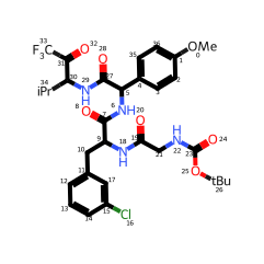 COc1ccc(C(NC(=O)C(Cc2cccc(Cl)c2)NC(=O)CNC(=O)OC(C)(C)C)C(=O)NC(C(=O)C(F)(F)F)C(C)C)cc1